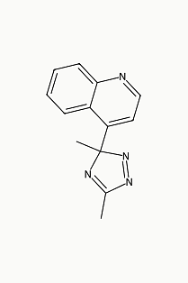 CC1=NC(C)(c2ccnc3ccccc23)N=N1